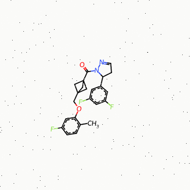 Cc1ccc(F)cc1OCC12CC(C(=O)N3N=CCC3c3cc(F)cc(F)c3)(C1)C2